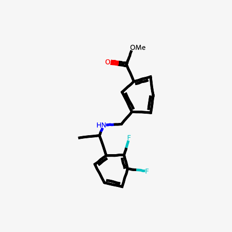 COC(=O)c1cccc(CNC(C)c2cccc(F)c2F)c1